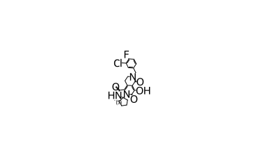 C[C@H]1CCCC12NC(=O)c1c3c(c(O)c(=O)n12)C(=O)N(Cc1ccc(F)c(Cl)c1)CC3